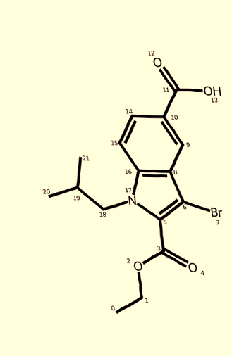 CCOC(=O)c1c(Br)c2cc(C(=O)O)ccc2n1CC(C)C